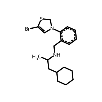 CC(CC1CCCCC1)NCc1ccccc1N1C=C(Br)SC1